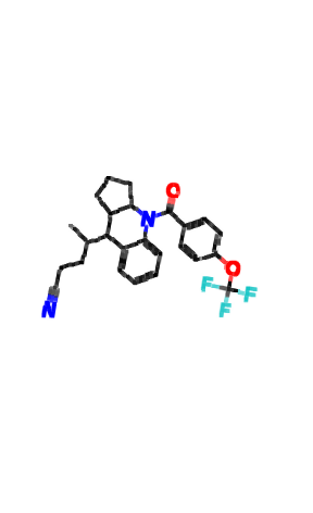 CC(CCC#N)C1c2ccccc2N(C(=O)c2ccc(OC(F)(F)F)cc2)C2CCCC12